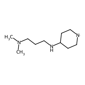 CN(C)CCCNC1CC[N]CC1